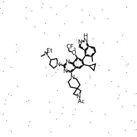 CCN(C)[C@@H]1CCN(c2nc(N3CCC4(CC3)CN(C(C)=O)C4)c3cc(C4CC4)c(-c4c(C)ccc5[nH]ncc45)c(OCC(F)(F)F)c3n2)C1